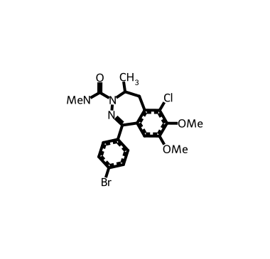 CNC(=O)N1N=C(c2ccc(Br)cc2)c2cc(OC)c(OC)c(Cl)c2CC1C